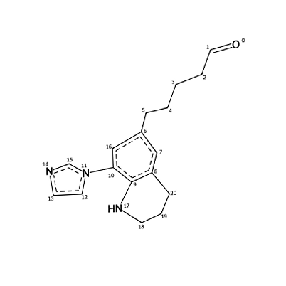 O=CCCCCc1cc2c(c(-n3ccnc3)c1)NCCC2